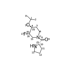 CC(C)O[C@H]1CCN(C(=O)[C@@H]2CCCN2)C[C@H]1F